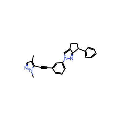 Cc1cnn(C)c1C#Cc1cccc(-n2cc3c(n2)C(c2ccccc2)CC3)c1